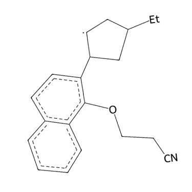 [CH2]CC1C[CH]C(c2ccc3ccccc3c2OCCC#N)C1